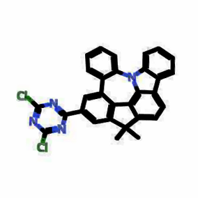 CC1(C)c2cc(-c3nc(Cl)nc(Cl)n3)cc3c2-c2c1ccc1c4ccccc4n(c21)-c1ccccc1-3